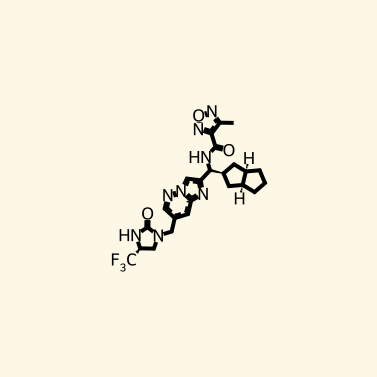 Cc1nonc1C(=O)NC(c1cn2ncc(CN3C[C@@H](C(F)(F)F)NC3=O)cc2n1)[C@H]1C[C@H]2CCC[C@H]2C1